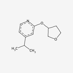 CC(C)c1ccnc(OC2CCOC2)c1